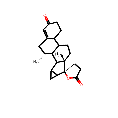 C[C@@H]1CC2=CC(=O)CCC2C2CC[C@@]3(C)C(C4CC4[C@@]34CCC(=O)O4)C21